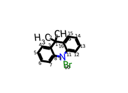 CC1(C)c2ccccc2N(Br)c2ccccc21